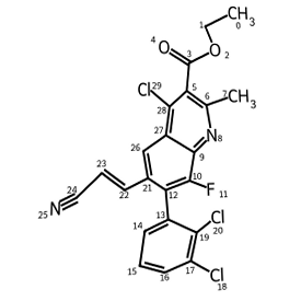 CCOC(=O)c1c(C)nc2c(F)c(-c3cccc(Cl)c3Cl)c(C=CC#N)cc2c1Cl